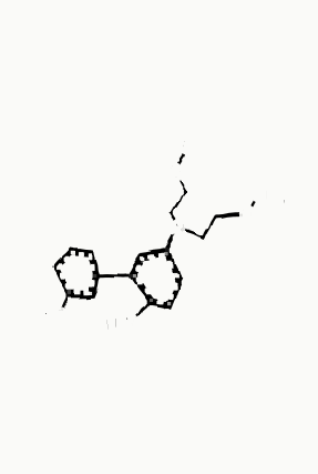 COCCN(CCOC)c1ccc(N)c(-c2cccc(C)c2)c1